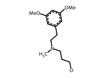 COc1cc(CCN(C)CCC[O])cc(OC)c1